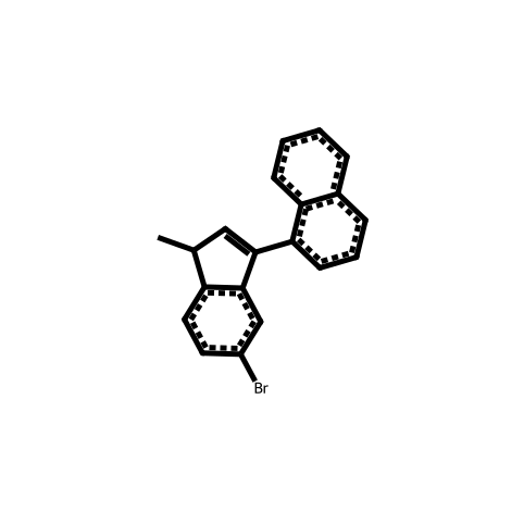 CC1C=C(c2cccc3ccccc23)c2cc(Br)ccc21